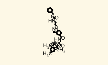 Cc1cc(C)c(S(=O)(=O)N[C@@H](CNC(=O)c2ccc3c(cnn3CCCNC(=O)OCc3ccccc3)c2)C(=O)O)c(C)c1